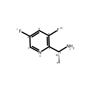 C[C@@H](N)c1ncc(F)cc1F